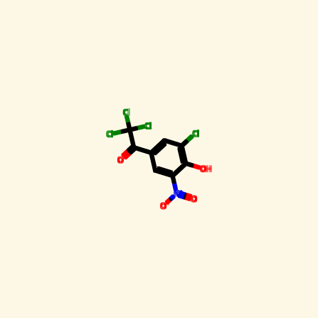 O=C(c1cc(Cl)c(O)c([N+](=O)[O-])c1)C(Cl)(Cl)Cl